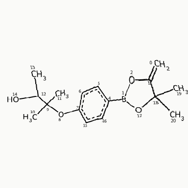 C=C1OB(c2ccc(OC(C)(C)C(C)O)cc2)OC1(C)C